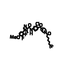 COc1ccc(-c2cnc(C(=O)Nc3ccc(C(=O)N4CCN(C(=O)CCCCCN(C)C)CC4)c(Cl)c3)n2C)c(F)c1F